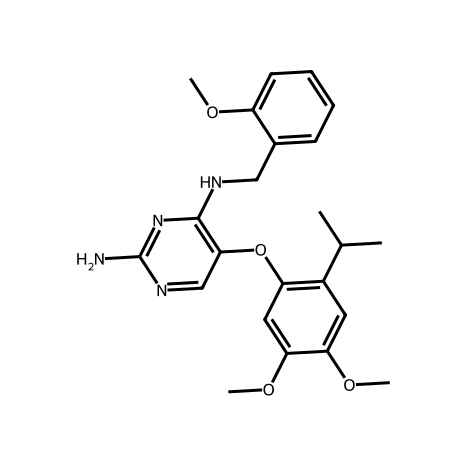 COc1ccccc1CNc1nc(N)ncc1Oc1cc(OC)c(OC)cc1C(C)C